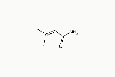 CC(C)=CC(N)=O